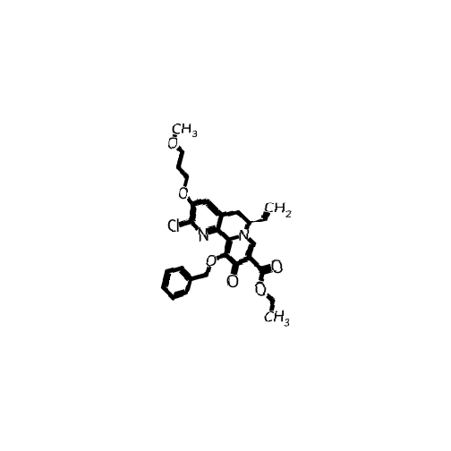 C=C[C@@H]1Cc2cc(OCCCOC)c(Cl)nc2-c2c(OCc3ccccc3)c(=O)c(C(=O)OCC)cn21